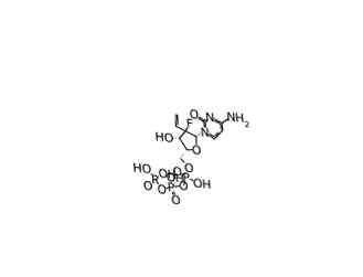 C=CC1(F)[C@@H](O)[C@@H](COP(=O)(O)OP(=O)(O)OP(=O)(O)O)O[C@H]1n1ccc(N)nc1=O